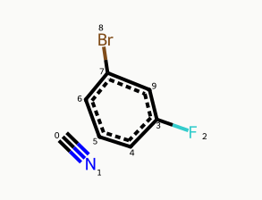 C#N.Fc1cccc(Br)c1